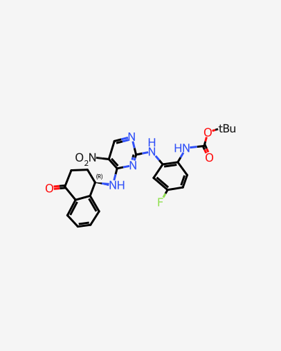 CC(C)(C)OC(=O)Nc1ccc(F)cc1Nc1ncc([N+](=O)[O-])c(N[C@@H]2CCC(=O)c3ccccc32)n1